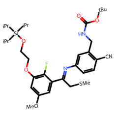 COc1cc(OCCO[Si](C(C)C)(C(C)C)C(C)C)c(F)c(C([CH]SC)=Nc2ccc(C#N)c(CNC(=O)OC(C)(C)C)c2)c1